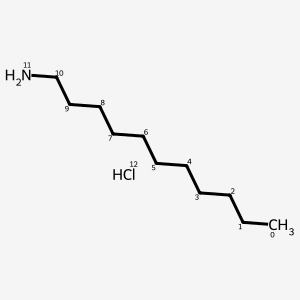 CCCCCCCCCCCN.Cl